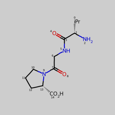 CC(C)[C@H](N)C(=O)NCC(=O)N1CCC[C@H]1C(=O)O